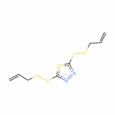 C=CCSSc1nnc(SSCC=C)s1